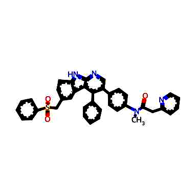 CN(C(=O)Cc1ccccn1)c1ccc(-c2cnc3[nH]c4ccc(CS(=O)(=O)c5ccccc5)cc4c3c2-c2ccccc2)cc1